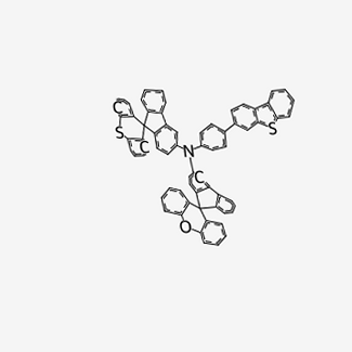 c1ccc2c(c1)Oc1ccccc1C21c2ccccc2-c2cc(N(c3ccc(-c4ccc5c(c4)sc4ccccc45)cc3)c3ccc4c(c3)-c3ccccc3C43c4ccccc4Sc4ccccc43)ccc21